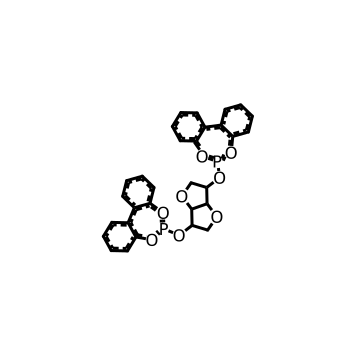 c1ccc2c(c1)op(OC1COC3C(Op4oc5ccccc5c5ccccc5o4)COC13)oc1ccccc12